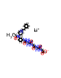 CCC(=O)N(c1cccc(NC(=O)NCC(=O)NCC(=O)NCC(=O)NCC(=O)[O-])c1)C1CCN(CCc2ccccc2)CC1.[Li+]